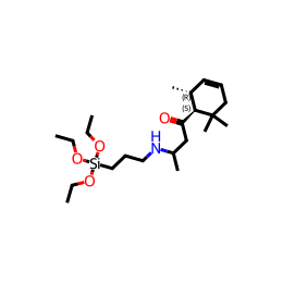 CCO[Si](CCCNC(C)CC(=O)[C@H]1[C@H](C)C=CCC1(C)C)(OCC)OCC